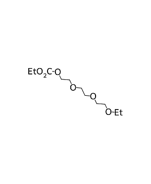 CCOCCOCCOCCOC(=O)OCC